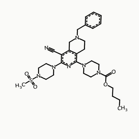 CCCCOC(=O)N1CCN(c2nc(N3CCN(S(C)(=O)=O)CC3)c(C#N)c3c2CCN(Cc2ccccc2)C3)CC1